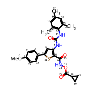 COc1ccc(-c2cc(NC(=O)Nc3c(C)cc(C)cc3C)c(C(=O)NOC(=O)C3CC3)s2)cc1